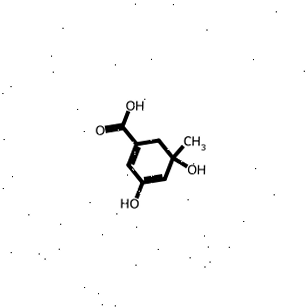 CC1(O)C=C(O)C=C(C(=O)O)C1